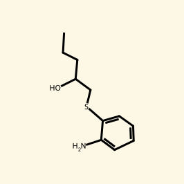 CCCC(O)CSc1ccccc1N